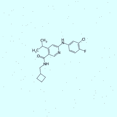 CC(C)c1cc(Nc2ccc(F)c(Cl)c2)ncc1C(=O)NCC1CCC1